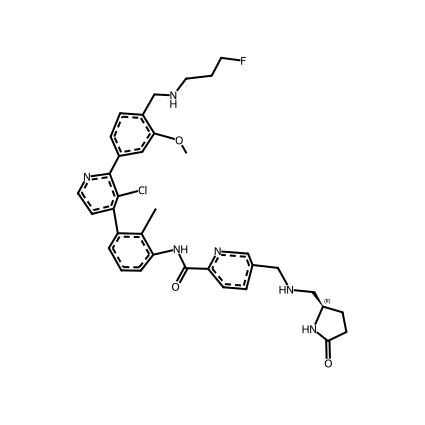 COc1cc(-c2nccc(-c3cccc(NC(=O)c4ccc(CNC[C@H]5CCC(=O)N5)cn4)c3C)c2Cl)ccc1CNCCCF